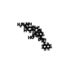 CC(c1nc2cc(NC(=N)N)ccc2[nH]1)c1nc2ccc(C(=O)NCCc3cccc4ccccc34)cc2n1CC(O)CO